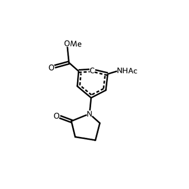 COC(=O)c1cc(NC(C)=O)cc(N2CCCC2=O)c1